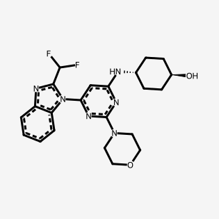 O[C@H]1CC[C@H](Nc2cc(-n3c(C(F)F)nc4ccccc43)nc(N3CCOCC3)n2)CC1